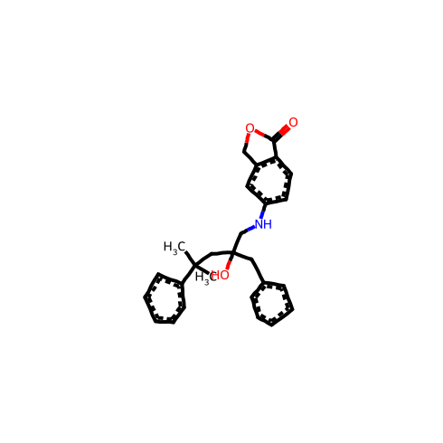 CC(C)(CC(O)(CNc1ccc2c(c1)COC2=O)Cc1ccccc1)c1ccccc1